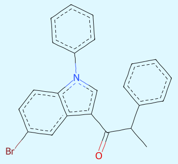 CC(C(=O)c1cn(-c2ccccc2)c2ccc(Br)cc12)c1ccccc1